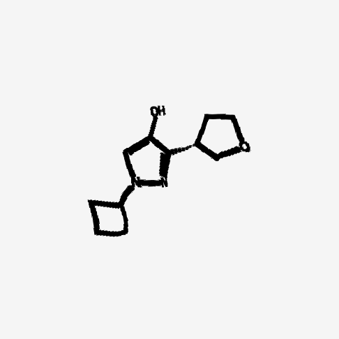 Oc1cn(C2CCC2)nc1[C@@H]1CCOC1